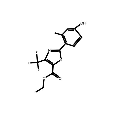 CCOC(=O)c1sc(-c2ccc(O)cc2C)nc1C(F)(F)F